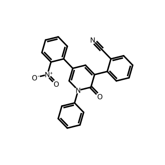 N#Cc1ccccc1-c1cc(-c2ccccc2[N+](=O)[O-])cn(-c2ccccc2)c1=O